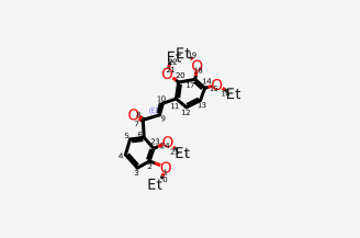 CCOc1cccc(C(=O)/C=C/c2ccc(OCC)c(OCC)c2OCC)c1OCC